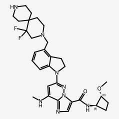 CNc1cc(N2CCc3c(CN4CCC5(CCNCC5)C(F)(F)C4)cccc32)nn2c(C(=O)N[C@@H]3CC[C@H]3OC)cnc12